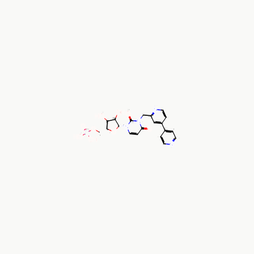 O=c1ccn([C@@H]2O[C@H](COP(=O)(O)O)C(O)C2O)c(=O)n1Cc1cc(-c2ccncc2)ccn1